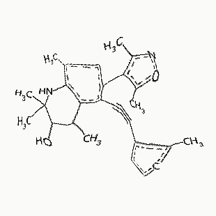 Cc1cccc(C#Cc2c(-c3c(C)noc3C)cc(C)c3c2C(C)C(O)C(C)(C)N3)c1